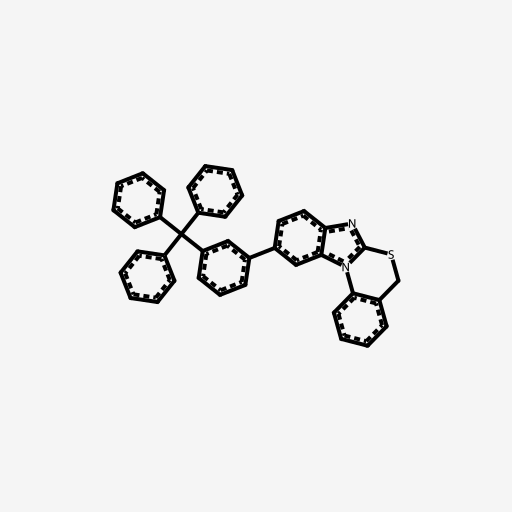 c1ccc(C(c2ccccc2)(c2ccccc2)c2cccc(-c3ccc4nc5n(c4c3)-c3ccccc3CS5)c2)cc1